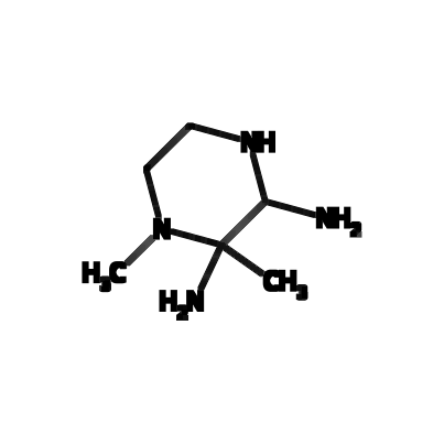 CN1CCNC(N)C1(C)N